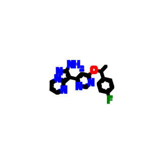 CC(Oc1cc(-c2c(N)nn3cccnc23)ncn1)c1ccc(F)cc1